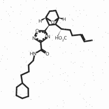 CC=CCC[C@H](C(=O)O)C1[C@@H](c2nc(C(=O)NCCCCC3CCCCC3)no2)[C@@H]2CC[C@H]1O2